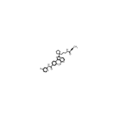 CC#CC(=O)NCCCC1(c2nc(-c3ccc(C(=O)Nc4cc(F)ccn4)cc3)c3c(N)nccn23)CCCC1